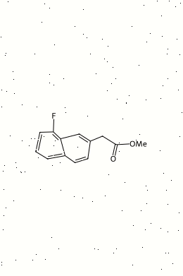 COC(=O)Cc1ccc2cccc(F)c2c1